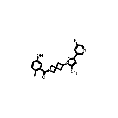 O=C(c1cc(O)ccc1F)N1CC2(CC(n3nc(-c4cncc(F)c4)cc3C(F)(F)F)C2)C1